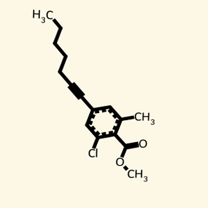 CCCCCC#Cc1cc(C)c(C(=O)OC)c(Cl)c1